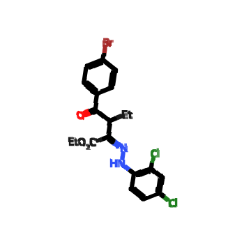 CCOC(=O)/C(=N\Nc1ccc(Cl)cc1Cl)C(CC)C(=O)c1ccc(Br)cc1